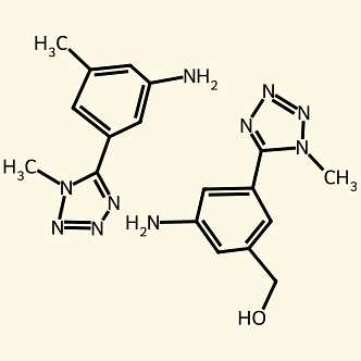 Cc1cc(N)cc(-c2nnnn2C)c1.Cn1nnnc1-c1cc(N)cc(CO)c1